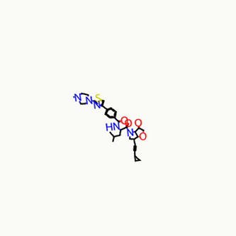 CC(C)CC(NC(=O)c1ccc(-c2csc(N3CCN(C)CC3)n2)cc1)C(=O)N1CC(C#CC2CC2)C2OCC(=O)C21